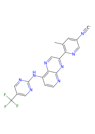 [C-]#[N+]c1cnc(-c2cnc3c(Nc4ncc(C(F)(F)F)cn4)ccnc3n2)c(C)c1